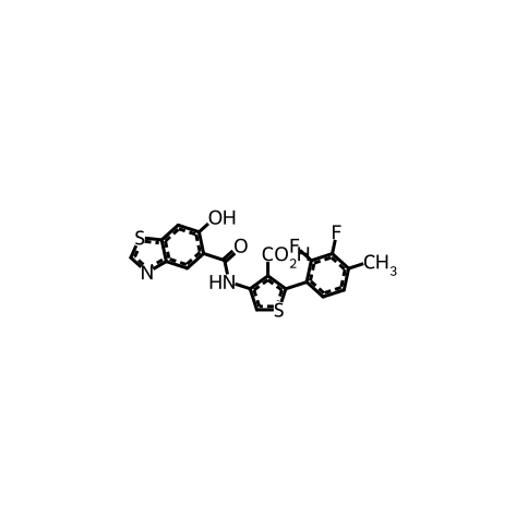 Cc1ccc(-c2scc(NC(=O)c3cc4ncsc4cc3O)c2C(=O)O)c(F)c1F